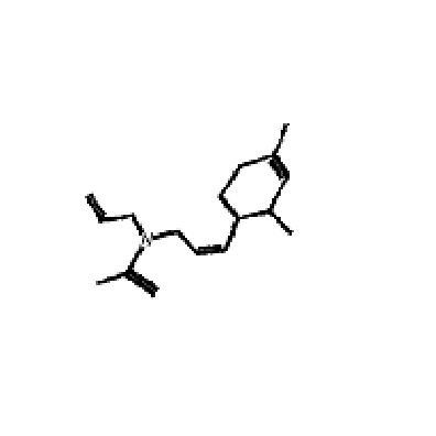 C=CCN(C/C=C\C1CCC(C)=CC1C)C(=C)C